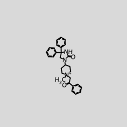 C[N+]1(CC(=O)c2ccccc2)CCC(N2CC(c3ccccc3)(c3ccccc3)NC2=O)CC1